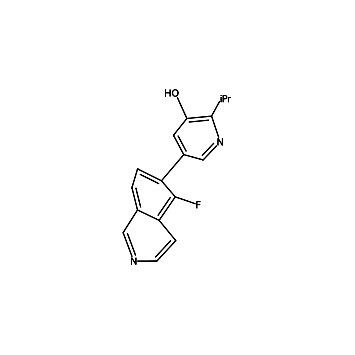 CC(C)c1ncc(-c2ccc3cnccc3c2F)cc1O